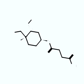 CC[C@@H]1C[C@@H](NC(=O)CCC(=O)O)CC[C@]1(C)CC